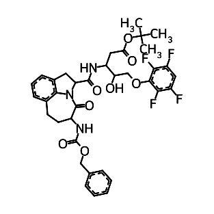 CC(C)(C)OC(=O)CC(NC(=O)C1Cc2cccc3c2N1C(=O)C(NC(=O)OCc1ccccc1)CC3)C(O)COc1c(F)c(F)cc(F)c1F